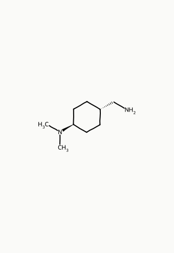 CN(C)[C@H]1CC[C@H](CN)CC1